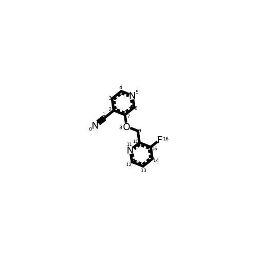 N#Cc1ccncc1OCc1ncccc1F